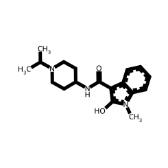 CC(C)N1CCC(NC(=O)c2c(O)n(C)c3ccccc23)CC1